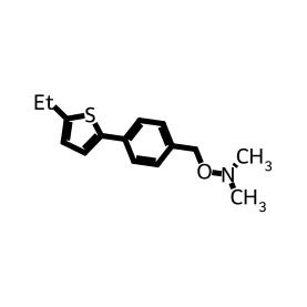 CCc1ccc(-c2ccc(CON(C)C)cc2)s1